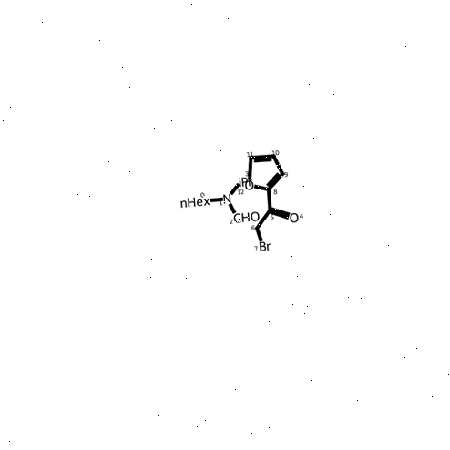 CCCCCCN(C=O)C(C)C.O=C(CBr)c1ccco1